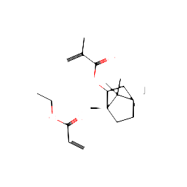 C=C(C)C(=O)OC1C[C@H]2CC[C@@]1(C)C2(C)C.C=CC(=O)OCC